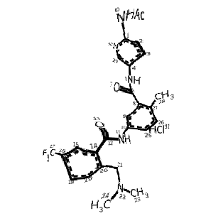 CC(=O)Nc1ccc(NC(=O)c2cc(NC(=O)c3cc(C(F)(F)F)ccc3CN(C)C)ccc2C)cn1.Cl